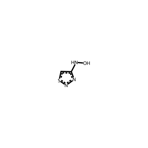 ONc1csnn1